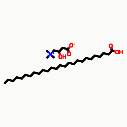 CCCCCCCCCCCCCCCCCCCCCCCCCC(=O)O.C[N+](C)(C)CC(O)CC(=O)[O-]